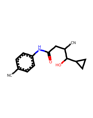 N#Cc1ccc(NC(=O)CC(C#N)C(O)C2CC2)cc1